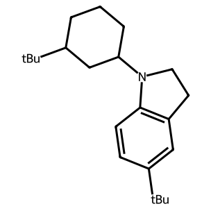 CC(C)(C)c1ccc2c(c1)CCN2C1CCCC(C(C)(C)C)C1